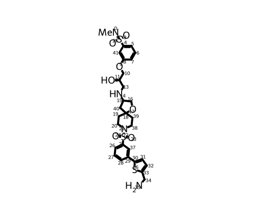 CNS(=O)(=O)c1cccc(OCC(O)CNC2COC3(CCN(S(=O)(=O)c4cccc(-c5ccc(CN)s5)c4)CC3)C2)c1